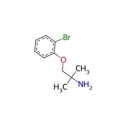 CC(C)(N)COc1ccccc1Br